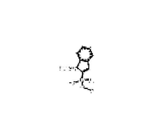 CC(C)(C)[NH][Ti+2]([CH3])([CH3])[C]1=Cc2ccccc2C1.[Cl-].[Cl-].[SiH4]